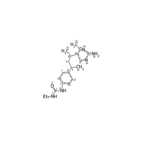 CCNC(=O)Nc1ccc(C(C)CC(C)c2cnc(N)nc2C)cc1